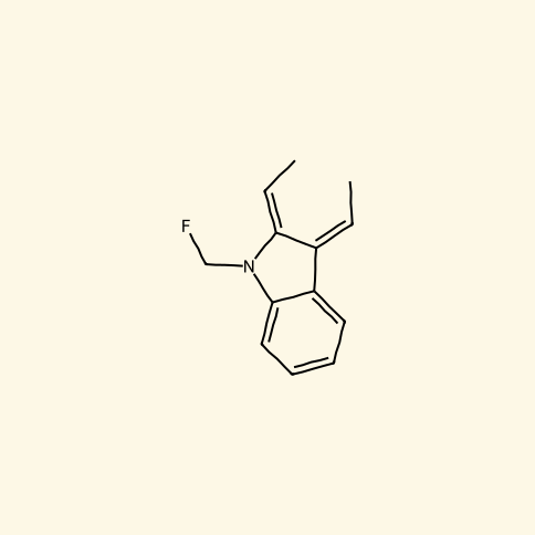 C/C=c1\c(=C/C)n(CF)c2ccccc12